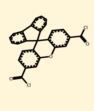 O=C(Cl)c1ccc2c(c1)Oc1cc(C(=O)Cl)ccc1C21c2ccccc2-c2ccccc21